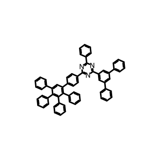 c1ccc(-c2cc(-c3ccccc3)cc(-c3nc(-c4ccccc4)nc(-c4ccc(-c5cc(-c6ccccc6)c(-c6ccccc6)c(-c6ccccc6)c5-c5ccccc5)cc4)n3)c2)cc1